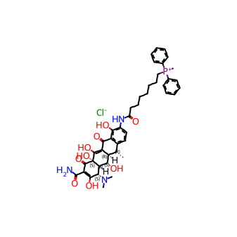 C[C@H]1c2ccc(NC(=O)CCCCCCC[P+](C)(c3ccccc3)c3ccccc3)c(O)c2C(=O)C2=C(O)[C@]3(O)C(=O)C(C(N)=O)=C(O)[C@@H](N(C)C)[C@@H]3[C@@H](O)[C@@H]21.[Cl-]